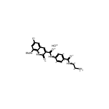 CNc1cc(F)cc2cc(C(=O)Nc3ccc(C(=O)NCCN)cc3)c(=O)[nH]c12.Cl